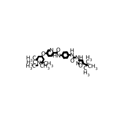 CCN1C(C)(C)CC(Oc2ccc(C(=O)Nc3ccc(NC(=O)Nc4cc(C(C)(C)C)on4)cc3)nc2)CC1(C)C